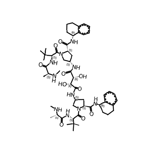 CN[C@@H](C)C(=O)N[C@H](C(=O)N1C[C@@H](NC(=O)[C@H](O)[C@@H](O)C(=O)N[C@H]2C[C@@H](C(=O)N[C@@H]3CCCc4ccccc43)N(C(=O)[C@@H](NC(=O)[C@H](C)NC)C(C)(C)C)C2)C[C@H]1C(=O)N[C@@H]1CCCc2ccccc21)C(C)(C)C